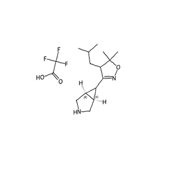 CC(C)CC1C(C2[C@H]3CNC[C@@H]23)=NOC1(C)C.O=C(O)C(F)(F)F